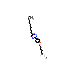 C=CCCCCCOc1ccc(-c2ncc(CCCCCCCCCC)cn2)cc1